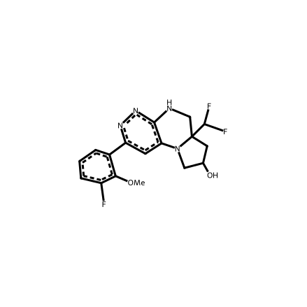 COc1c(F)cccc1-c1cc2c(nn1)NCC1(C(F)F)CC(O)CN21